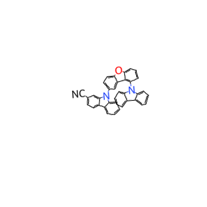 N#Cc1ccc2c3ccccc3n(-c3ccc4oc5cccc(-n6c7ccccc7c7ccccc76)c5c4c3)c2c1